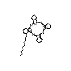 CCCCCCCCCCc1cccc2c3nc4nc(nc5[nH]c(nc6nc(nc([nH]3)c12)-c1ccccc1-6)c1ccccc51)-c1ccccc1-4